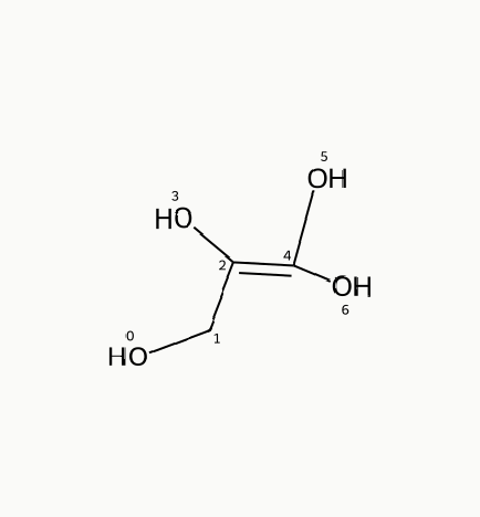 OCC(O)=C(O)O